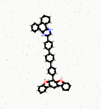 c1ccc2c(c1)oc1c(-c3ccc(-c4ccc(-c5ccc(-c6cnc7c8ccccc8c8ccccc8c7n6)cc5)cc4)cc3)c3oc4ccccc4c3cc12